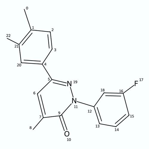 Cc1ccc(-c2cc(C)c(=O)n(-c3cccc(F)c3)n2)cc1C